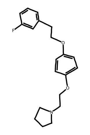 Fc1cccc(CCOc2ccc(OCCN3CCCC3)cc2)c1